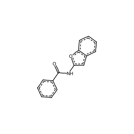 O=C(Nc1cc2ccccc2o1)c1ccccc1